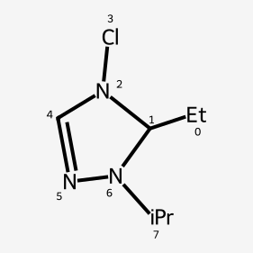 CCC1N(Cl)C=NN1C(C)C